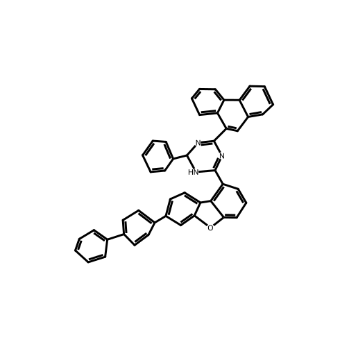 c1ccc(-c2ccc(-c3ccc4c(c3)oc3cccc(C5=NC(c6cc7ccccc7c7ccccc67)=NC(c6ccccc6)N5)c34)cc2)cc1